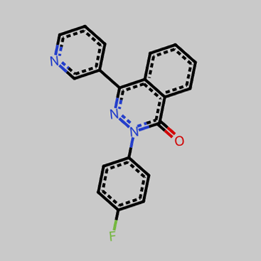 O=c1c2ccccc2c(-c2cccnc2)nn1-c1ccc(F)cc1